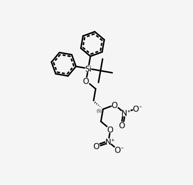 CC(C)(C)[Si](OCC[C@@H](CO[N+](=O)[O-])O[N+](=O)[O-])(c1ccccc1)c1ccccc1